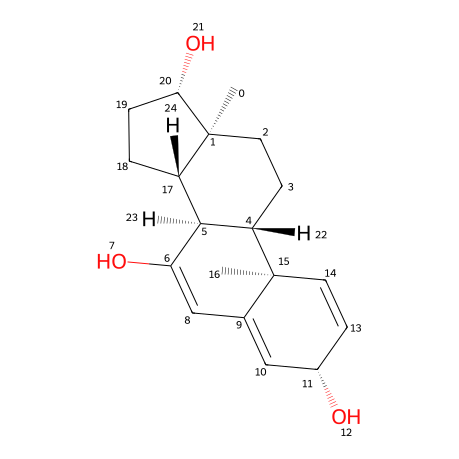 C[C@]12CC[C@H]3[C@@H](C(O)=CC4=C[C@@H](O)C=C[C@@]43C)[C@@H]1CC[C@@H]2O